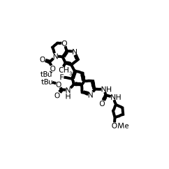 COC1CCC(NC(=O)Nc2cc3cc(-c4cnc5c(c4C)N(C(=O)OC(C)(C)C)CCO5)c(F)c(NC(=O)OC(C)(C)C)c3cn2)C1